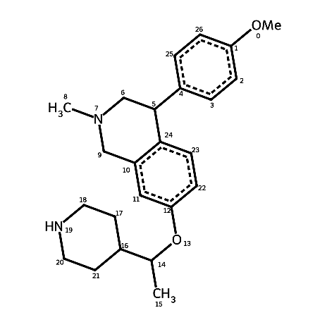 COc1ccc(C2CN(C)Cc3cc(OC(C)C4CCNCC4)ccc32)cc1